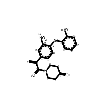 C=C(C(=O)N1CCC(=O)CC1)c1ccc(Sc2ccccc2C(C)C)c([N+](=O)[O-])c1